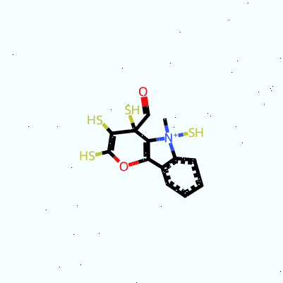 C[N+]1(S)C2=C(OC(S)=C(S)C2(S)C=O)c2ccccc21